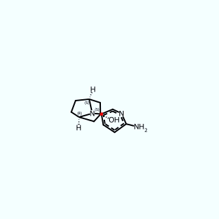 Nc1ccc(N2[C@@H]3CC[C@H]2C[C@H](O)C3)cn1